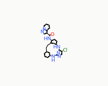 O=C(Nc1ccc2cc1CCc1cccc(c1)Nc1ncc(Cl)c(n1)N2)c1cnn2ccccc12